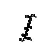 C=C(C)C(=O)OCCNC(=O)OCCOC(C)S